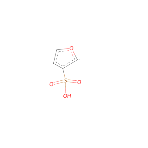 O=S(=O)(O)c1[c]occ1